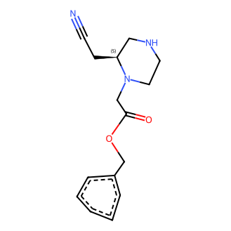 N#CC[C@H]1CNCCN1CC(=O)OCc1ccccc1